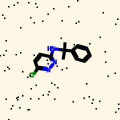 CC(C)(Nc1ccc(Cl)nn1)c1ccccc1